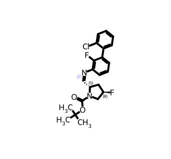 CC(C)(C)OC(=O)N1C[C@H](F)C[C@H]1/C=N\c1cccc(-c2ccccc2Cl)c1F